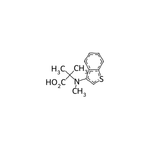 CN(c1csc2ccccc12)C(C)(C)C(=O)O